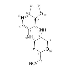 N#CCC1CC[C@H](Nc2c(N)cnc3ccoc23)CO1